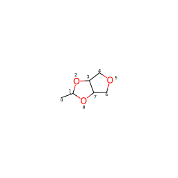 C[C]1OC2COCC2O1